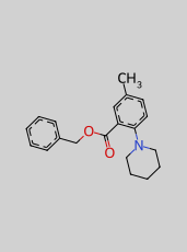 Cc1ccc(N2CCCCC2)c(C(=O)OCc2ccccc2)c1